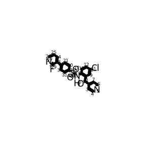 O=C(c1ccncc1)c1cc(Cl)ccc1NS(=O)(=O)c1ccc(-c2cccnc2F)cc1